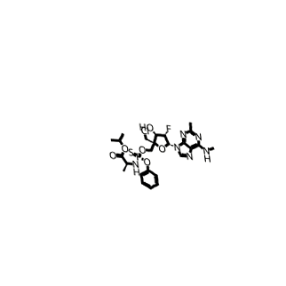 CNc1nc(C)nc2c1ncn2[C@@H]1O[C@](CCl)(COP(=S)(N[C@@H](C)C(=O)OC(C)C)Oc2ccccc2)[C@@H](O)[C@@H]1F